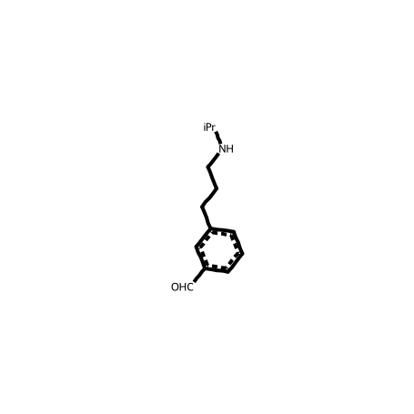 CC(C)NCCCc1cccc(C=O)c1